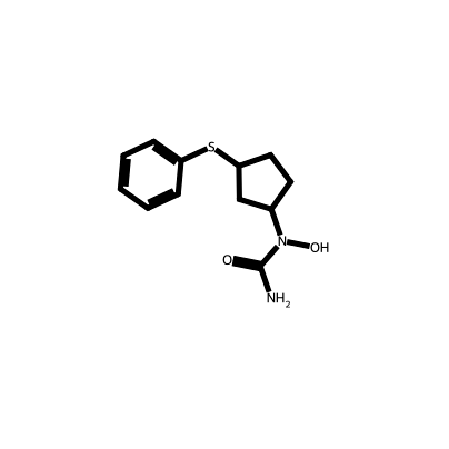 NC(=O)N(O)C1CCC(Sc2ccccc2)C1